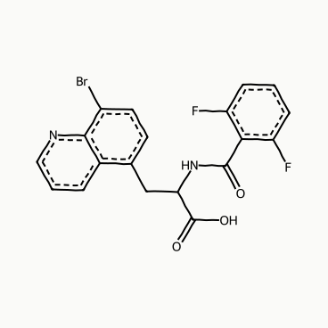 O=C(NC(Cc1ccc(Br)c2ncccc12)C(=O)O)c1c(F)cccc1F